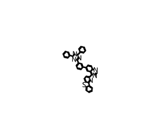 c1ccc(-c2nc(-c3ccccc3)nc(-c3cccc(-c4ccc5ncnc(-c6ccc7sc8ccccc8c7n6)c5c4)c3)n2)cc1